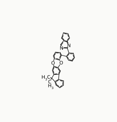 CC1(C)c2ccccc2-c2cc3c(cc21)Oc1cccc(-c2ccccc2-c2ncc4ccccc4n2)c1O3